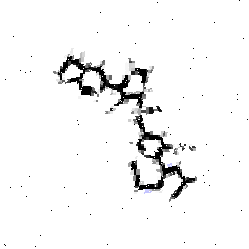 C=C(C)/C=C(\C=C/C)c1ncc(CNc2ncnc(-c3cc4cccnc4cn3)c2F)cc1OC